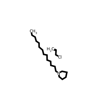 C=CCCl.CCCCCCCCCCCCCCN1CCCCC1